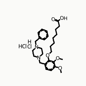 COc1ccc(CN2CCN(Cc3ccccc3)CC2)c(OCCCCCCCC(=O)O)c1OC.Cl.Cl